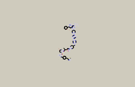 Cc1ncsc1-c1ccc([C@H](C)NC(=O)[C@@H]2C[C@@H](O)CN2C(=O)C(c2cc(N3CCC(CN4CCN(c5cnc(N6CCC(n7nc(N)c8nnc(-c9ccccc9O)cc87)CC6)cn5)CC4)CC3)no2)C(C)C)cc1